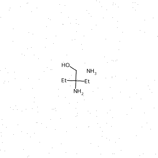 CCC(N)(CC)CO.N